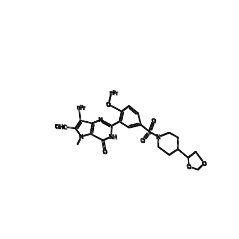 CCCOc1ccc(S(=O)(=O)N2CCC(C3COCO3)CC2)cc1-c1nc2c(CCC)c(C=O)n(C)c2c(=O)[nH]1